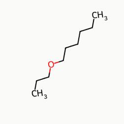 CCCCCCOCCC